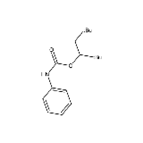 CC(C)(C)CC(OC(=O)Nc1ccccc1)C(C)(C)C